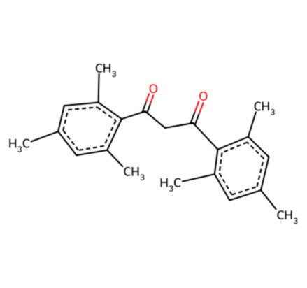 Cc1cc(C)c(C(=O)CC(=O)c2c(C)cc(C)cc2C)c(C)c1